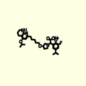 COc1c(F)cc(C(C)C)cc1C(C(=O)O)N1CC[C@@H](OCCCCCc2cc(OC(C)C)c3c(n2)NCCC3)C1